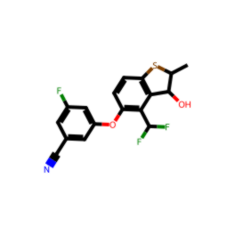 CC1Sc2ccc(Oc3cc(F)cc(C#N)c3)c(C(F)F)c2C1O